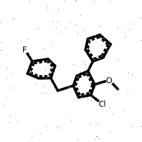 COc1c(Cl)cc(Cc2ccc(F)cc2)cc1-c1ccccc1